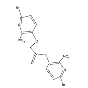 O=C(COc1ccc(Br)nc1[N+](=O)[O-])Oc1ccc(Br)nc1[N+](=O)[O-]